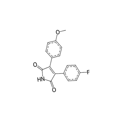 COc1ccc(C2=C(c3ccc(F)cc3)C(=O)NC2=O)cc1